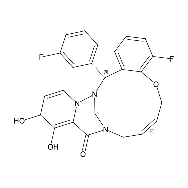 O=C1C2=C(O)C(O)C=CN2N2CN1C/C=C\COc1c(F)cccc1[C@H]2c1cccc(F)c1